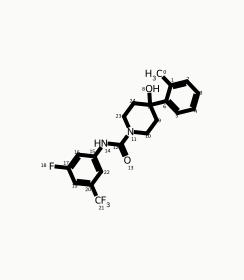 Cc1ccccc1C1(O)CCN(C(=O)Nc2cc(F)cc(C(F)(F)F)c2)CC1